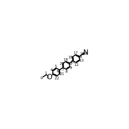 CCOc1ccc(-c2ccc(-c3ccc(C#N)cc3)cc2)cc1